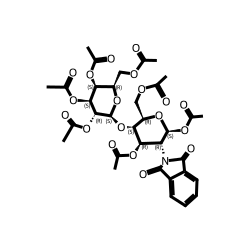 CC(=O)OC[C@H]1O[C@@H](O[C@H]2[C@H](OC(C)=O)[C@@H](N3C(=O)c4ccccc4C3=O)[C@H](OC(C)=O)O[C@@H]2COC(C)=O)[C@H](OC(C)=O)[C@@H](OC(C)=O)[C@H]1OC(C)=O